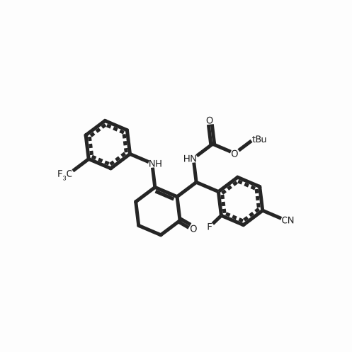 CC(C)(C)OC(=O)NC(C1=C(Nc2cccc(C(F)(F)F)c2)CCCC1=O)c1ccc(C#N)cc1F